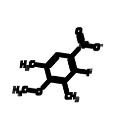 COc1c(C)cc([N+](=O)[O-])c(F)c1C